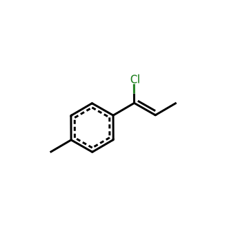 CC=C(Cl)c1ccc(C)cc1